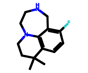 CC1(C)CCN2CCNCc3c(F)ccc1c32